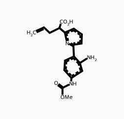 C=CCC(C(=O)O)c1cccc(-c2ccc(NC(=O)OC)cc2N)n1